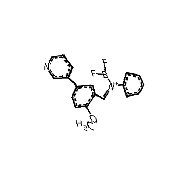 COc1ccc(-c2cccnc2)cc1/C=[N+](\B(F)F)c1ccccc1